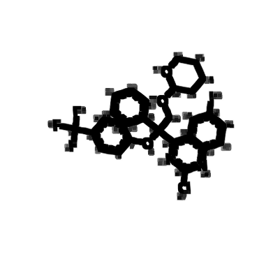 FC(F)(F)c1ccc(OC(COC2CCCCO2)(c2ccccc2)c2nc(Cl)nc3ccc(I)cc23)cc1